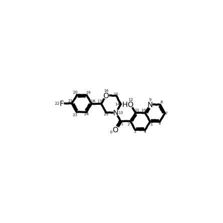 O=C(c1ccc2cccnc2c1O)N1CCOC(c2ccc(F)cc2)C1